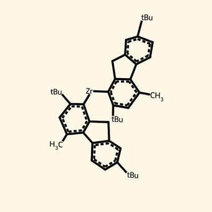 Cc1cc(C(C)(C)C)[c]([Zr][c]2c(C(C)(C)C)cc(C)c3c2Cc2cc(C(C)(C)C)ccc2-3)c2c1-c1ccc(C(C)(C)C)cc1C2